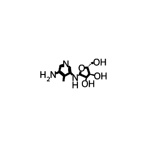 Cc1c(N)cncc1N[C@@H]1O[C@H](CO)[C@@H](O)[C@H]1O